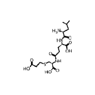 CC(C)C[C@H](N)C(=O)N[C@H](CCC(=O)N[C@H](CSCCC(=O)O)C(=O)O)C(=O)O